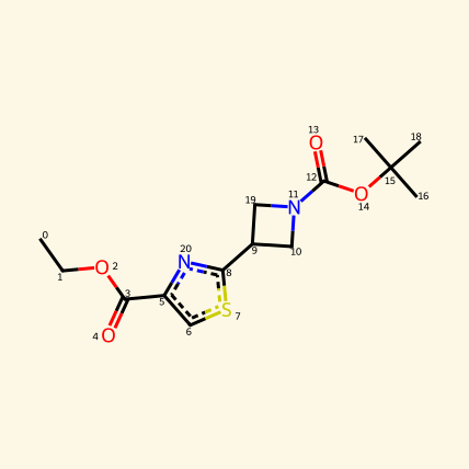 CCOC(=O)c1csc(C2CN(C(=O)OC(C)(C)C)C2)n1